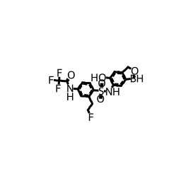 O=C(Nc1ccc(S(=O)(=O)Nc2cc3c(cc2O)COB3)c(CCF)c1)C(F)(F)F